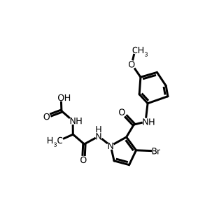 COc1cccc(NC(=O)c2c(Br)ccn2NC(=O)C(C)NC(=O)O)c1